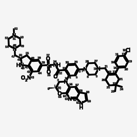 C[C@@H]1CN(c2cc(N3CCN(CC4=C(c5ccc(Cl)cc5)CC(C)(C)CC4)CC3)ccc2C(=O)NS(=O)(=O)c2cc3c(c([N+](=O)[O-])c2)N[C@@H](CN2CCN(C)CC2)C3)c2cc3cc[nH]c3nc2O1